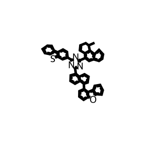 CC1CC=Cc2c(-c3nc(-c4ccc5c(c4)sc4ccccc45)nc(-c4cccc5c(-c6cccc7oc8ccccc8c67)cccc45)n3)cc3ccccc3c21